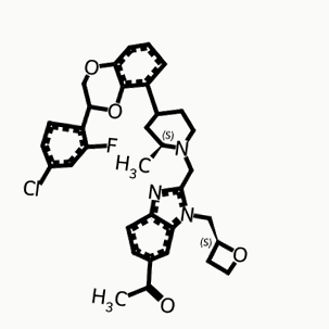 CC(=O)c1ccc2nc(CN3CCC(c4cccc5c4OC(c4ccc(Cl)cc4F)CO5)C[C@@H]3C)n(C[C@@H]3CCO3)c2c1